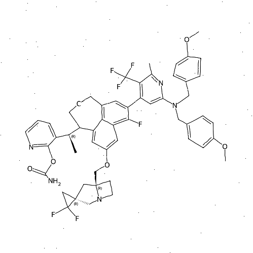 COc1ccc(CN(Cc2ccc(OC)cc2)c2cc(-c3cc4c5c(cc(OC[C@@]67CCN6C[C@]6(CC6(F)F)C7)cc5c3F)C([C@@H](C)c3cccnc3OC(N)=O)CCC4)c(C(F)(F)F)c(C)n2)cc1